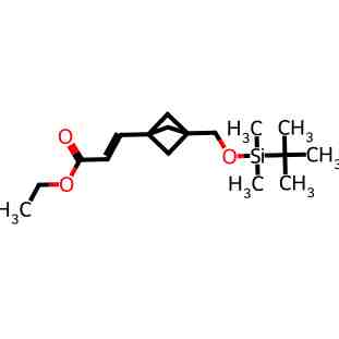 CCOC(=O)/C=C/C12CC(CO[Si](C)(C)C(C)(C)C)(C1)C2